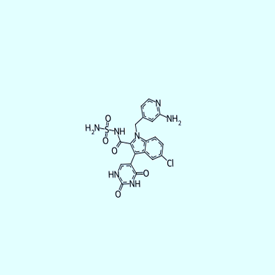 Nc1cc(Cn2c(C(=O)NS(N)(=O)=O)c(-c3c[nH]c(=O)[nH]c3=O)c3cc(Cl)ccc32)ccn1